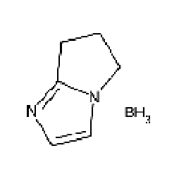 B.c1cn2c(n1)CCC2